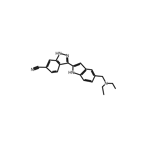 CCN(CC)Cc1ccc2[nH]c(-c3n[nH]c4cc(C#N)ccc34)cc2c1